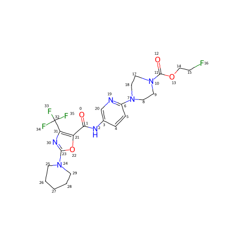 O=C(Nc1ccc(N2CCN(C(=O)OCCF)CC2)nc1)c1oc(N2CCCCC2)nc1C(F)(F)F